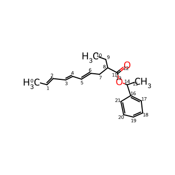 CC=CC=CC=CCC(CC)C(=O)OC(C)c1ccccc1